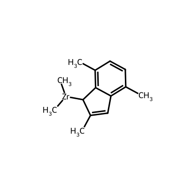 CC1=Cc2c(C)ccc(C)c2[CH]1[Zr]([CH3])[CH3]